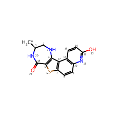 C[C@H]1CNc2c(sc3ccc4nc(O)ccc4c23)C(=O)N1